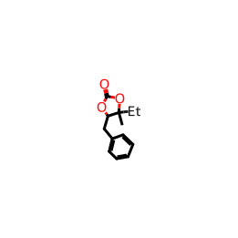 CCC1(C)OC(=O)OC1Cc1ccccc1